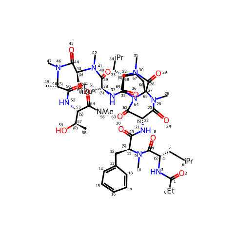 CCC(=O)N[C@@H](CC(C)C)C(=O)N(C)[C@@H](Cc1ccccc1)C(=O)N[C@@H](C(=O)N(C)CC(=O)N(C)[C@@H](CC(C)C)C(=O)N[C@H](C(=O)N(C)[C@H](C(=O)N(C)[C@@H](C)C(=O)N[C@H](C(=O)NC)[C@@H](C)O)C(C)C)[C@@H](C)CC)C(=O)N1CCCCC1